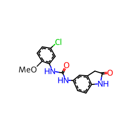 COc1ccc(Cl)cc1NC(=O)Nc1ccc2c(c1)CC(=O)N2